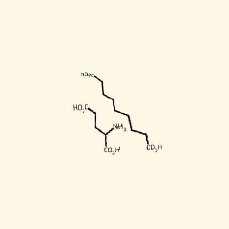 CCCCCCCCCCCCCCCCCC(=O)O.NC(CCC(=O)O)C(=O)O